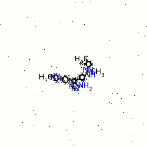 Cc1ccc2c(nc(Nc3ccc(-c4cn(C5CCC(N6CCN(C)CC6)CC5)c5ncnc(N)c45)cc3)n2C)c1F